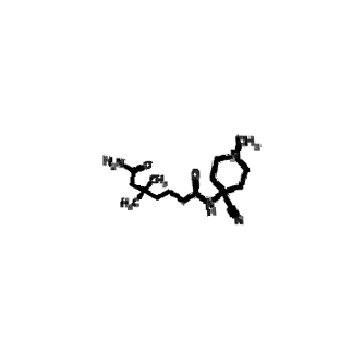 CN1CCC(C#N)(NC(=O)[CH]CCC(C)(C)CC(N)=O)CC1